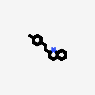 Cc1ccc(CCc2ccc3ccccc3n2)cc1